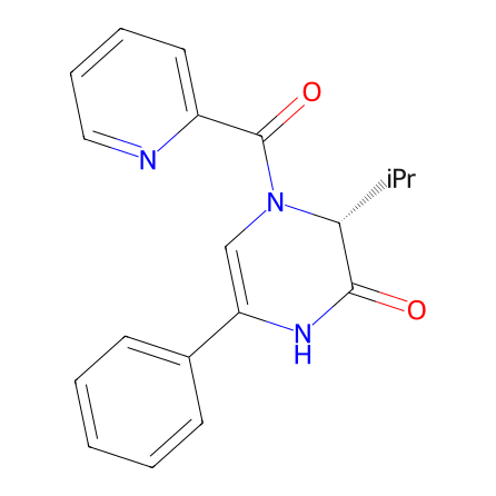 CC(C)[C@@H]1C(=O)NC(c2ccccc2)=CN1C(=O)c1ccccn1